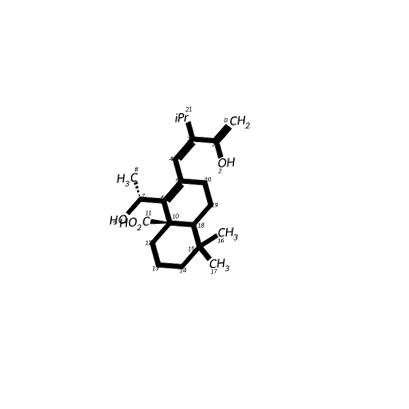 C=C(O)/C(=C\C1=C([C@@H](C)O)[C@@]2(C(=O)O)CCCC(C)(C)C2CC1)C(C)C